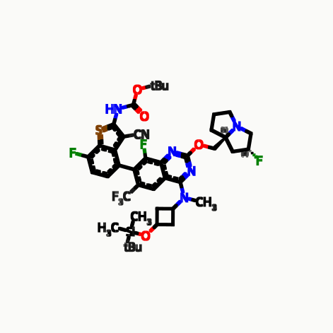 CN(c1nc(OC[C@@]23CCCN2C[C@H](F)C3)nc2c(F)c(-c3ccc(F)c4sc(NC(=O)OC(C)(C)C)c(C#N)c34)c(C(F)(F)F)cc12)C1CC(O[Si](C)(C)C(C)(C)C)C1